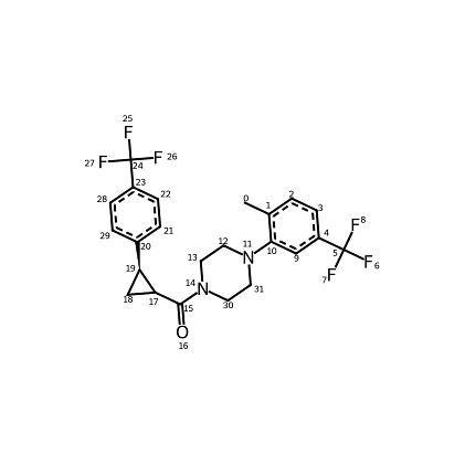 Cc1ccc(C(F)(F)F)cc1N1CCN(C(=O)C2C[C@H]2c2ccc(C(F)(F)F)cc2)CC1